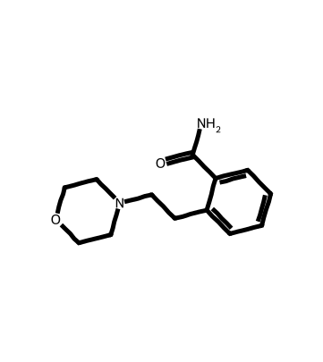 NC(=O)c1ccccc1CCN1CCOCC1